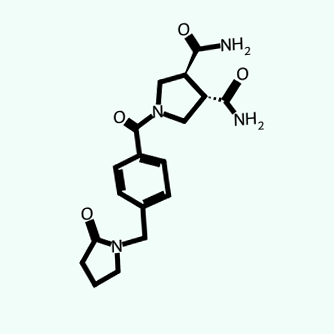 NC(=O)[C@@H]1CN(C(=O)c2ccc(CN3CCCC3=O)cc2)C[C@H]1C(N)=O